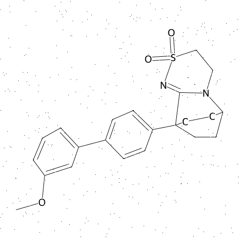 COc1cccc(-c2ccc(C34CCC(CC3)N3CCS(=O)(=O)N=C34)cc2)c1